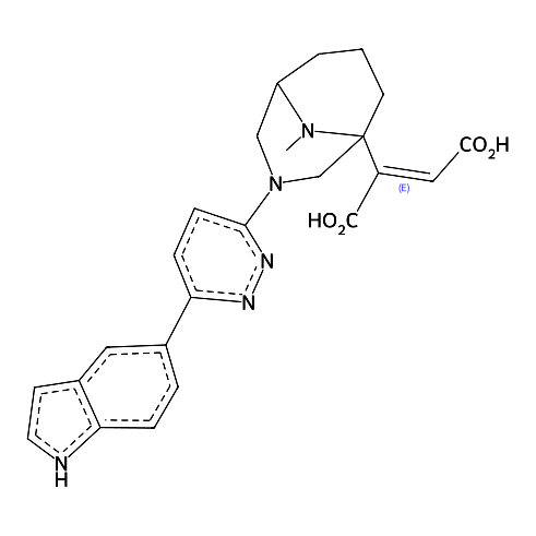 CN1C2CCCC1(/C(=C\C(=O)O)C(=O)O)CN(c1ccc(-c3ccc4[nH]ccc4c3)nn1)C2